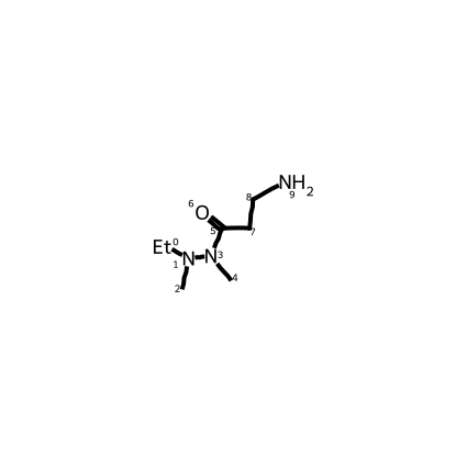 CCN(C)N(C)C(=O)CCN